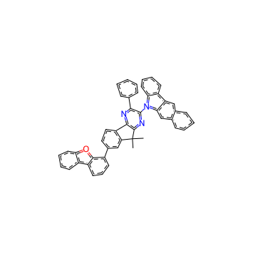 CC1(C)c2cc(-c3cccc4c3oc3ccccc34)ccc2-c2nc(-c3ccccc3)c(-n3c4ccccc4c4cc5ccccc5cc43)nc21